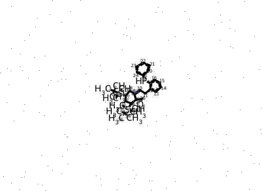 CC(C)(C)[Si](C)(C)[C@H]1C/C(=C/Cc2ccccc2Pc2ccccc2)C2(CO2)[C@@](O)([Si](C)(C)C(C)(C)C)C1